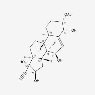 C#C[C@]1(O)[C@H](O)C[C@H]2[C@@H]3[C@H](O)C=C4[C@@H](O)[C@@H](OC(C)=O)CC[C@]4(C)[C@H]3CC[C@@]21C